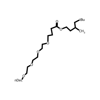 CCCCCCCCCCOCCOCCOCCOCCCC(=O)OCCC(C)CC(C)(C)C